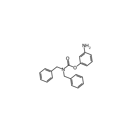 Nc1cccc(OC(=O)N(Cc2ccccc2)Cc2ccccc2)c1